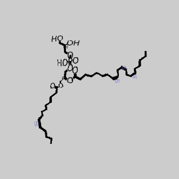 CCCC/C=C\CCCCCCCC(=O)OC[C@H](COP(=O)(O)OC[C@@H](O)CO)OC(=O)CCCCCC/C=C\C/C=C\C/C=C\CCCCC